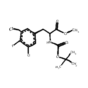 COC(=O)C(Cc1cc(Cl)c(F)c(Cl)c1)NC(=O)OC(C)(C)C